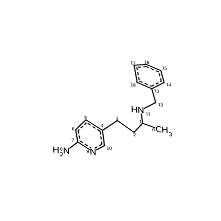 CC(CCc1ccc(N)nc1)NCc1ccccc1